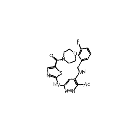 CC(=O)c1nnc(Nc2ncc(C(=O)N3CCOCC3)s2)cc1NCc1cccc(F)c1